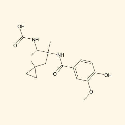 COc1cc(C(=O)NC(C)(CC2(C)CC2)[C@H](C)NC(=O)O)ccc1O